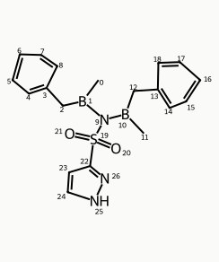 CB(Cc1ccccc1)N(B(C)Cc1ccccc1)S(=O)(=O)c1cc[nH]n1